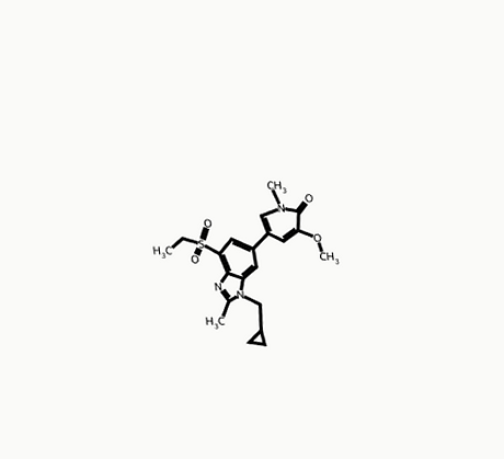 CCS(=O)(=O)c1cc(-c2cc(OC)c(=O)n(C)c2)cc2c1nc(C)n2CC1CC1